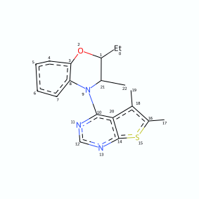 CCC1Oc2ccccc2N(c2ncnc3sc(C)c(C)c23)C1C